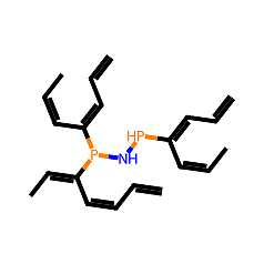 C=C/C=C\C(=C/C)P(NPC(/C=C\C)=C/C=C)C(/C=C\C)=C/C=C